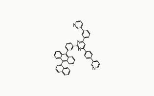 c1cncc(-c2ccc(-c3cc(-c4cccc(-c5cccnc5)c4)nc(-c4cccc(-c5c6ccccc6c(-c6cccc7ccccc67)c6ccccc56)c4)n3)cc2)c1